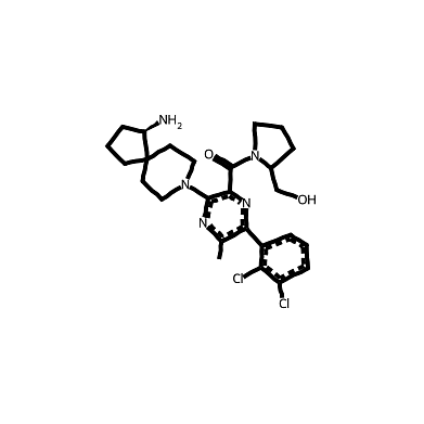 Cc1nc(N2CCC3(CCC[C@H]3N)CC2)c(C(=O)N2CCCC2CO)nc1-c1cccc(Cl)c1Cl